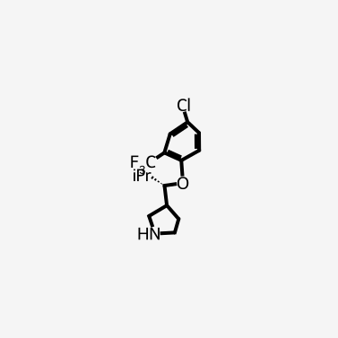 CC(C)[C@H](Oc1ccc(Cl)cc1C(F)(F)F)C1CCNC1